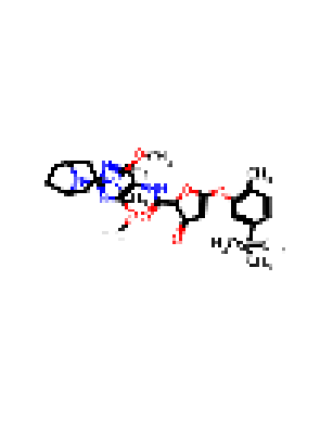 COc1nc(N2C3CCC2CC(N(C)C)C3)nc(OC)c1NC(=O)C1OC(Oc2cc([Si](C)(C)C)ccc2C)=CC1=O